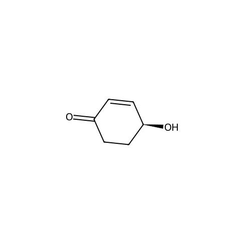 O=C1C=C[C@@H](O)CC1